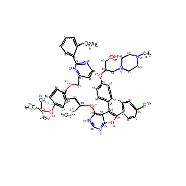 COc1ccccc1-c1nccc(COc2ccc(O[Si](C)(C)C(C)(C)C)cc2CC(Oc2ncnc3oc(-c4ccc(F)cc4)c(-c4ccc(OC(CO)CN5CCN(C)CC5)cc4)c23)C(=O)O)n1